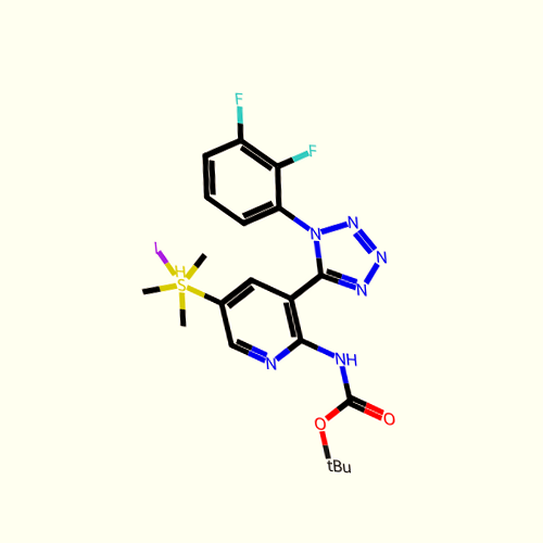 CC(C)(C)OC(=O)Nc1ncc([SH](C)(C)(C)I)cc1-c1nnnn1-c1cccc(F)c1F